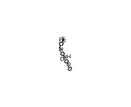 O=C(Nc1ccc(C[N]Cc2ccc(C(F)(F)F)cc2)cc1)c1ccc(OCc2ccccc2)cc1